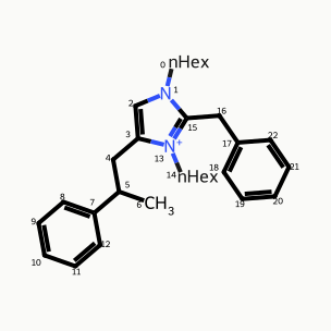 CCCCCCn1cc(CC(C)c2ccccc2)[n+](CCCCCC)c1Cc1ccccc1